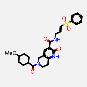 COC1CCC(C(=O)N2CCc3[nH]c(=O)c(C(=O)NC/C=C/S(=O)(=O)c4ccccc4)cc3C2)CC1